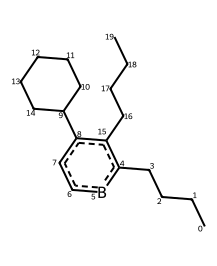 CCCCc1bccc(C2CCCCC2)c1CCCC